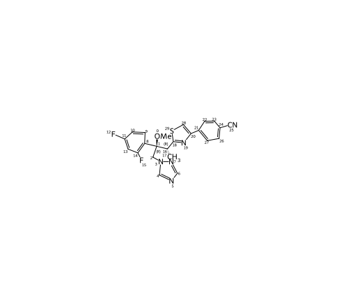 [CH2]O[C@@](Cn1cncn1)(c1ccc(F)cc1F)[C@@H](C)c1nc(-c2ccc(C#N)cc2)cs1